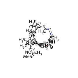 CSSC(C)(C#N)CCC(=O)N(C)[C@H](C)C(=O)OC1CC(=O)N(C)c2cc(cc(C)c2Cl)C/C(C)=C/C=C/[C@@H](C)[C@@]2(O)C[C@H](OC(=O)N2)[C@@H](C)[C@@H]2O[C@@]12C